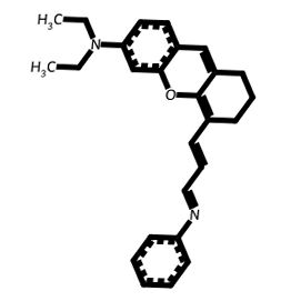 CCN(CC)c1ccc2c(c1)OC1=C(C=CC=Nc3ccccc3)CCCC1=C2